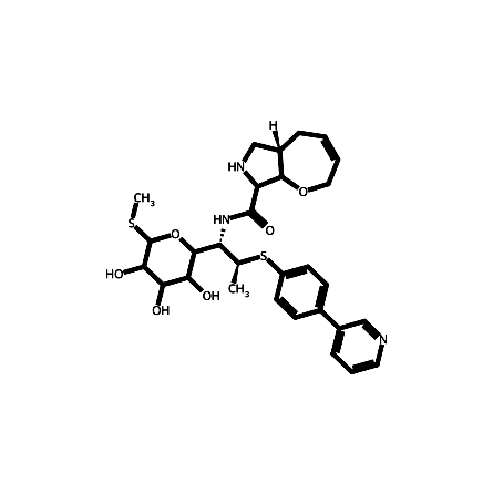 CSC1OC([C@H](NC(=O)C2NC[C@@H]3CC=CCOC23)[C@H](C)Sc2ccc(-c3cccnc3)cc2)C(O)C(O)C1O